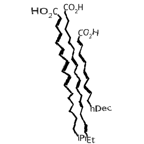 CC(C)CCCCCCC=CC=CC=CC=CC=CC(=O)O.CCC=CCC=CCC=CCC=CCCCCCCC(=O)O.CCCCCCCCCCCC=CC=CC=CC=CC(=O)O